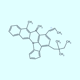 C=c1c2c(C)c3ccccc3cc2n2c3ccccc3c3c(CC(C)(C)CC)cc(/C=C\C)c1c32